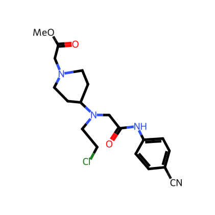 COC(=O)CN1CCC(N(CCCl)CC(=O)Nc2ccc(C#N)cc2)CC1